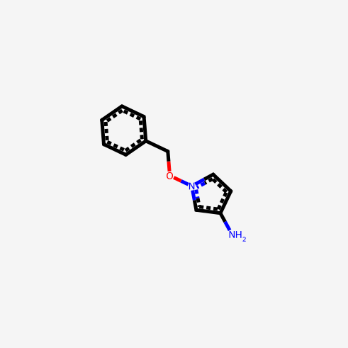 Nc1ccn(OCc2ccccc2)c1